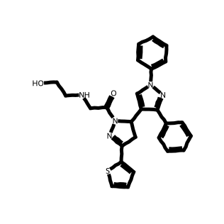 O=C(CNCCO)N1N=C(c2cccs2)CC1c1cn(-c2ccccc2)nc1-c1ccccc1